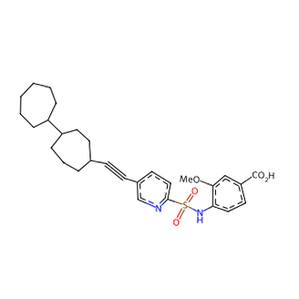 COc1cc(C(=O)O)ccc1NS(=O)(=O)c1ccc(C#CC2CCCC(C3CCCCCC3)CC2)cn1